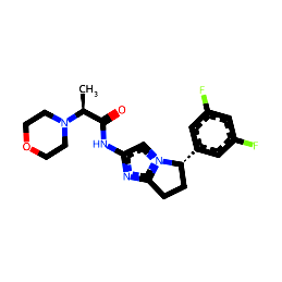 C[C@@H](C(=O)Nc1cn2c(n1)CC[C@H]2c1cc(F)cc(F)c1)N1CCOCC1